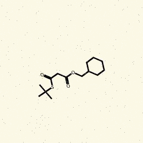 CC(C)(C)SC(=O)CC(=O)OCC1CCCCC1